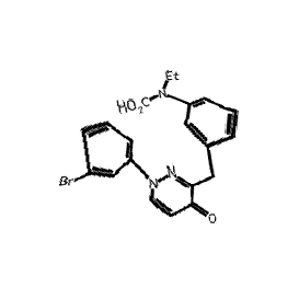 CCN(C(=O)O)c1cccc(Cc2nn(-c3cccc(Br)c3)ccc2=O)c1